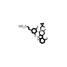 C[C@H]1Cc2c([nH]c3cccc(F)c23)[C@H](c2c(F)cc(/C=C/C(=O)O)cc2F)N1CC1(F)CC1